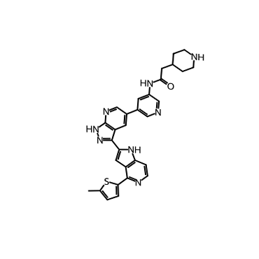 Cc1ccc(-c2nccc3[nH]c(-c4n[nH]c5ncc(-c6cncc(NC(=O)CC7CCNCC7)c6)cc45)cc23)s1